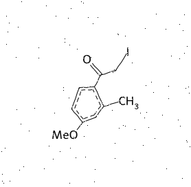 COc1ccc(C(=O)CI)c(C)c1